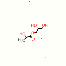 C[C@@H](O)C(=O)OC[C@H](O)CO